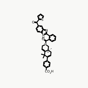 CC1(C)C(c2ccc(C(=O)O)cc2)=CC[C@]2(C)CN(C(=O)c3ccccc3-c3nc4cc(C(=O)c5cccs5)ccc4[nH]3)CC=C12